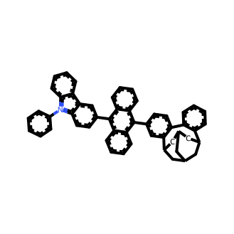 c1ccc(-n2c3ccccc3c3cc(-c4c5ccccc5c(-c5ccc6c(c5)C5CC7CC(CC(C7)c7ccccc7-6)C5)c5ccccc45)ccc32)cc1